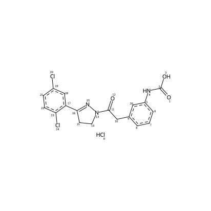 Cl.O=C(O)Nc1cccc(CC(=O)N2CCC(c3cc(Cl)ccc3Cl)=N2)c1